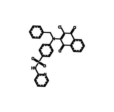 O=C1C(Cl)=C(N(Cc2ccccc2)c2ccc(S(=O)(=O)Nc3ccccn3)cc2)C(=O)c2ccccc21